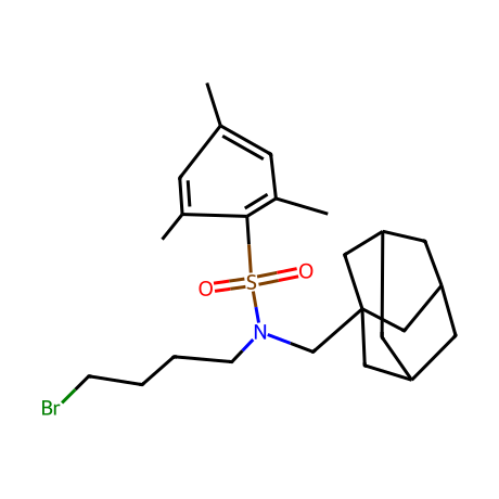 Cc1cc(C)c(S(=O)(=O)N(CCCCBr)CC23CC4CC(CC(C4)C2)C3)c(C)c1